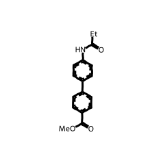 CCC(=O)Nc1ccc(-c2ccc(C(=O)OC)cc2)cc1